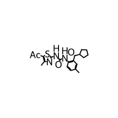 CC(=O)c1sc(NC(=O)Nc2ccc(C)cc2C(=O)C2CCCC2)nc1C